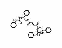 O=C(NC1CCCCC1)N[C@H](COC(=O)/C=C/C(=O)OC[C@@H](NC(=O)NC1CCCCC1)c1ccccc1)c1ccccc1